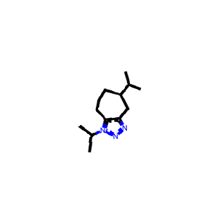 CC(C)C1CCCc2c(nnn2C(C)C)C1